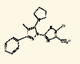 CCc1sc(-n2nc(-c3ccccc3)c(C)c2N2CCCC2)nc1C(=O)O